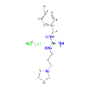 Cl.Cl.N=C(NCCCN1CCCC1)NCc1ccc(I)cc1